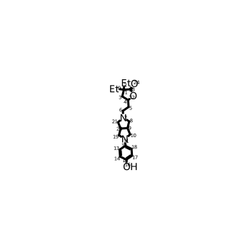 CCC1(CC)CC(CCN2CC3CN(c4ccc(O)cc4)CC3C2)OC1=O